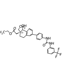 CCOC(=O)C[C@]1(CC)CCc2cc(-c3ccc(NC(=O)Nc4cccc(C(F)(F)F)c4)cc3)ccc2C1O